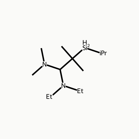 CCN(CC)C(N(C)C)C(C)(C)[SiH2]C(C)C